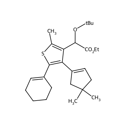 CCOC(=O)C(OC(C)(C)C)c1c(C)sc(C2=CCCCC2)c1C1=CCC(C)(C)C1